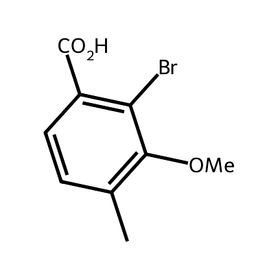 COc1c(C)ccc(C(=O)O)c1Br